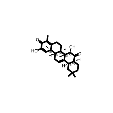 CC1=C2CC[C@]3(C)[C@H](CC=C4[C@@H]5CC(C)(C)CC[C@@H]5C(=O)[C@H](O)[C@]43C)[C@@]2(C)C=C(O)C1=O